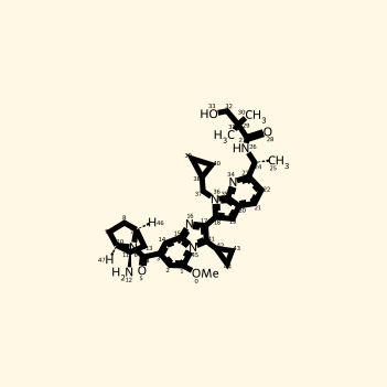 COc1cc(C(=O)N2[C@H]3CC[C@@H]2[C@H](N)C3)cc2nc(-c3cc4ccc([C@@H](C)NC(=O)C(C)(C)CO)nc4n3CC3CC3)c(C3CC3)n12